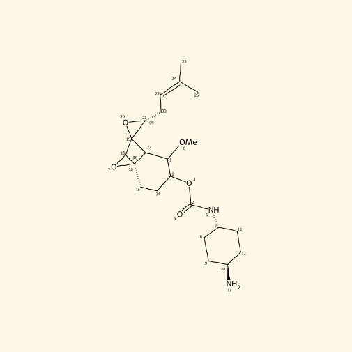 COC1C(OC(=O)N[C@H]2CC[C@H](N)CC2)CC[C@]23OC2C2(O[C@@H]2CC=C(C)C)C13